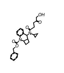 O=C(CO)CCC(=O)N(C1CC1)C1c2ccccc2N(C(=O)OCc2ccccc2)C2CCC21